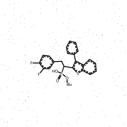 CCC(C)OP(=O)(O)C(Cc1ccc(F)c(F)c1)c1sc2ccccc2c1-c1ccccc1